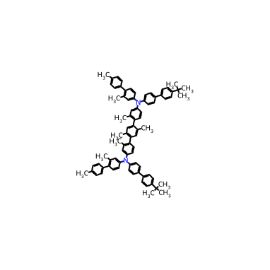 Cc1ccc(-c2ccc(N(c3ccc(-c4ccc(C(C)(C)C)cc4)cc3)c3ccc(-c4cc(C)c(-c5ccc(N(c6ccc(-c7ccc(C(C)(C)C)cc7)cc6)c6ccc(-c7ccc(C)cc7)c(C)c6)cc5C)cc4C)c(C)c3)cc2C)cc1